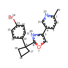 Cc1ccc(-c2coc(C3(c4ccc(Br)cc4)CCC3)n2)cn1